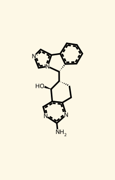 Nc1ncc2c(n1)CC[C@@H]([C@H]1c3ccccc3-c3cncn31)[C@@H]2O